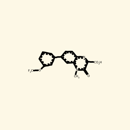 Cn1c(=O)c(C(=O)O)nc2ccc(-c3cccc(OC(F)(F)F)c3)cc21